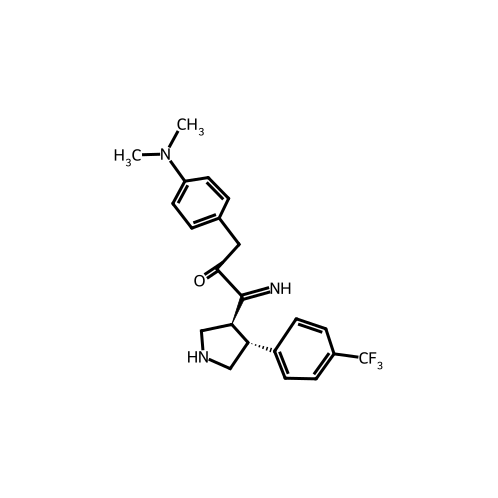 CN(C)c1ccc(CC(=O)C(=N)[C@@H]2CNC[C@H]2c2ccc(C(F)(F)F)cc2)cc1